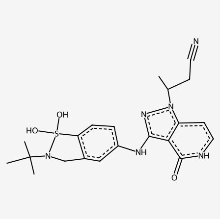 CC(CC#N)n1nc(Nc2ccc3c(c2)CN(C(C)(C)C)S3(O)O)c2c(=O)[nH]ccc21